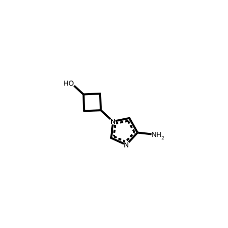 Nc1cn(C2CC(O)C2)cn1